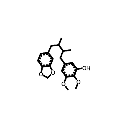 COc1cc(CC(C)C(C)Cc2ccc3c(c2)OCO3)cc(O)c1OC